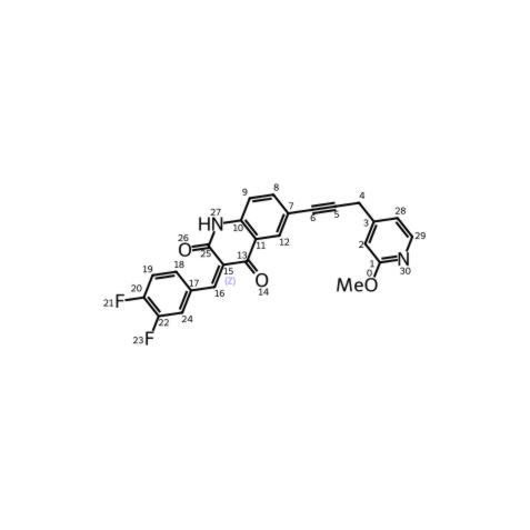 COc1cc(CC#Cc2ccc3c(c2)C(=O)/C(=C/c2ccc(F)c(F)c2)C(=O)N3)ccn1